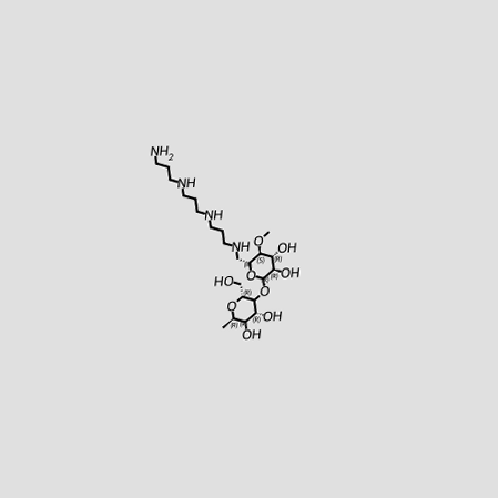 CO[C@H]1[C@H](O)[C@@H](O)[C@@H](OC2[C@@H](CO)O[C@H](C)[C@H](O)[C@H]2O)O[C@@H]1CNCCCNCCCNCCCN